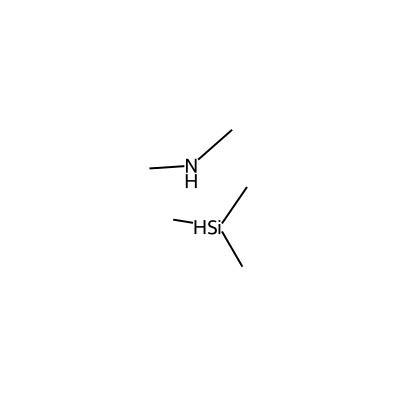 CNC.C[SiH](C)C